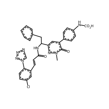 Cn1nc(C(Cc2ccccc2)NC(=O)C=Cc2cc(Cl)ccc2-n2cnnn2)cc(-c2ccc(NC(=O)O)cc2)c1=O